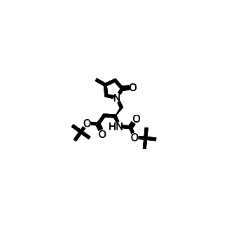 CC1CC(=O)N(C[C@H](CC(=O)OC(C)(C)C)NC(=O)OC(C)(C)C)C1